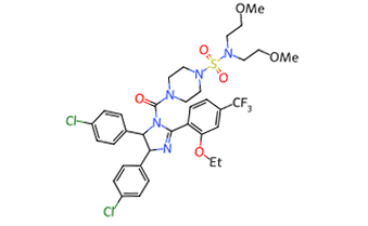 CCOc1cc(C(F)(F)F)ccc1C1=NC(c2ccc(Cl)cc2)C(c2ccc(Cl)cc2)N1C(=O)N1CCN(S(=O)(=O)N(CCOC)CCOC)CC1